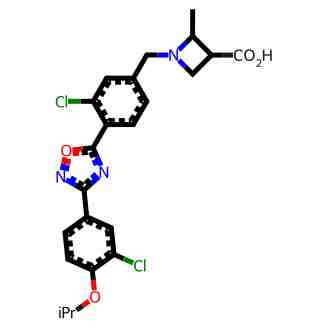 CC(C)Oc1ccc(-c2noc(-c3ccc(CN4CC(C(=O)O)C4C)cc3Cl)n2)cc1Cl